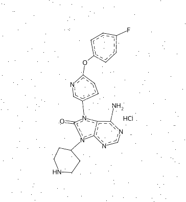 Cl.Nc1ncnc2c1n(-c1ccc(Oc3ccc(F)cc3)nc1)c(=O)n2C1CCNCC1